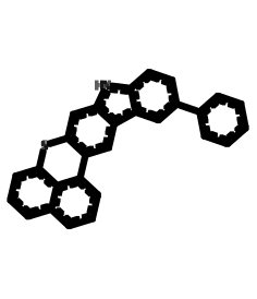 c1ccc(-c2ccc3[nH]c4cc5c(cc4c3c2)-c2cccc3cccc(c23)S5)cc1